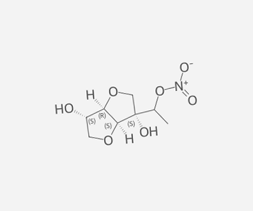 CC(O[N+](=O)[O-])[C@]1(O)CO[C@@H]2[C@@H](O)CO[C@@H]21